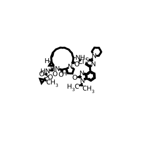 CC(C)n1c(O[C@@H]2C[C@H]3C(=O)N[C@]4(C(=O)NS(=O)(=O)C5(C)CC5)C[C@H]4/C=C\CCCCC[C@H](NCl)C(=O)N3C2)nc2c(-c3csc(N4CCCCC4)n3)cccc21